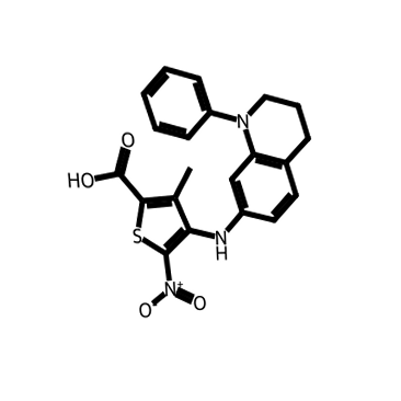 Cc1c(C(=O)O)sc([N+](=O)[O-])c1Nc1ccc2c(c1)N(c1ccccc1)CCC2